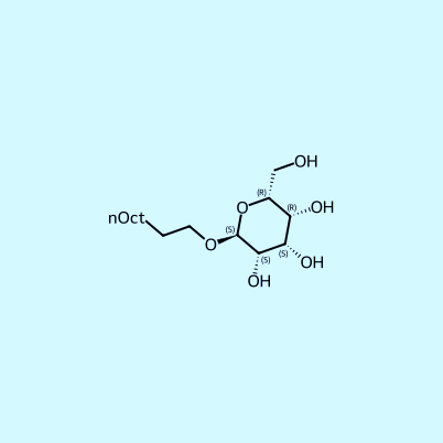 CCCCCCCCCCO[C@H]1O[C@H](CO)[C@H](O)[C@H](O)[C@@H]1O